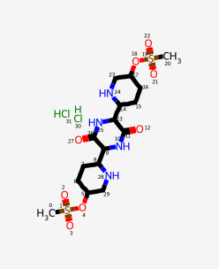 CS(=O)(=O)OC1CCC(C2NC(=O)C(C3CCC(OS(C)(=O)=O)CN3)NC2=O)NC1.Cl.Cl